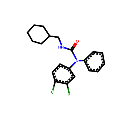 O=C(NCC1CCCCC1)N(c1ccccc1)c1ccc(Cl)c(F)c1